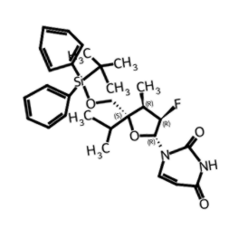 CC(C)[C@]1(CO[Si](c2ccccc2)(c2ccccc2)C(C)(C)C)O[C@@H](n2ccc(=O)[nH]c2=O)[C@H](F)[C@@H]1C